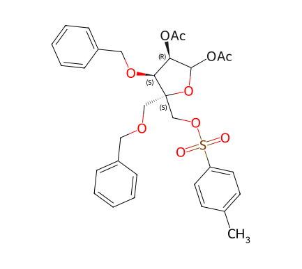 CC(=O)OC1O[C@@](COCc2ccccc2)(COS(=O)(=O)c2ccc(C)cc2)[C@@H](OCc2ccccc2)[C@H]1OC(C)=O